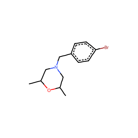 CC1CN(Cc2ccc(Br)cc2)CC(C)O1